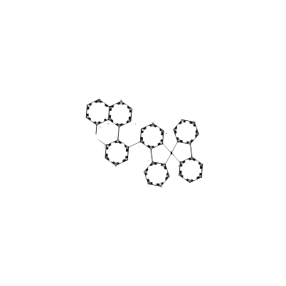 c1ccc2c(c1)-c1ccccc1C21c2ccccc2-c2c(-c3cccc4c3-c3cccc5cccc(c35)S4)cccc21